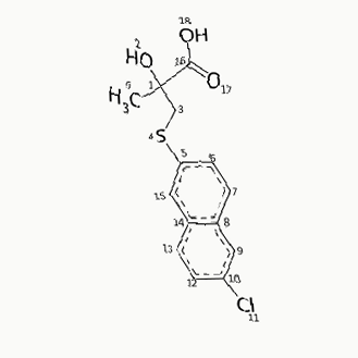 CC(O)(CSc1ccc2cc(Cl)ccc2c1)C(=O)O